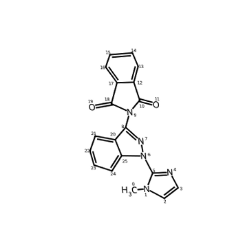 Cn1ccnc1-n1nc(N2C(=O)c3ccccc3C2=O)c2ccccc21